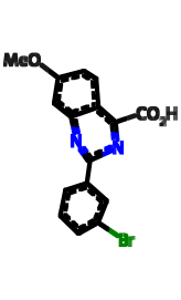 COc1ccc2c(C(=O)O)nc(-c3cccc(Br)c3)nc2c1